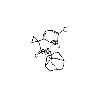 NC(=O)C12CC3CC(C1)C(NC(=O)C1(c4ccc(Cl)cc4)CC1)C(C3)C2